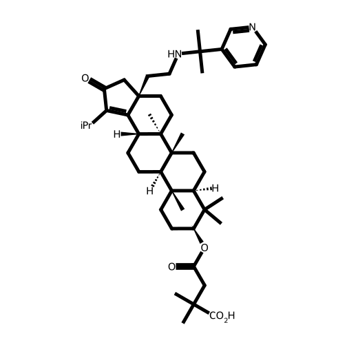 CC(C)C1=C2[C@H]3CC[C@@H]4[C@@]5(C)CC[C@H](OC(=O)CC(C)(C)C(=O)O)C(C)(C)[C@@H]5CC[C@@]4(C)[C@]3(C)CC[C@@]2(CCNC(C)(C)c2cccnc2)CC1=O